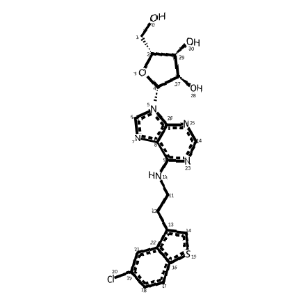 OC[C@H]1O[C@@H](n2cnc3c(NCCc4csc5ccc(Cl)cc45)ncnc32)[C@H](O)[C@@H]1O